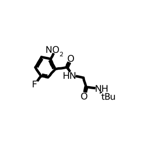 CC(C)(C)NC(=O)CNC(=O)c1cc(F)ccc1[N+](=O)[O-]